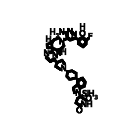 Nc1nnc(-c2cccc(F)c2O)cc1N1CC[C@@H]2CCC2(c2nccc(C3CCN([C@H]4CC[C@H](c5cccc6c5CCN6[C@]5([SiH3])CCC(=O)NC5=O)CC4)CC3)n2)C2C[C@H]2C1